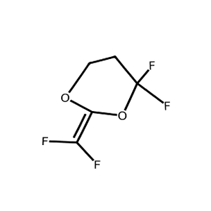 FC(F)=C1OCCC(F)(F)O1